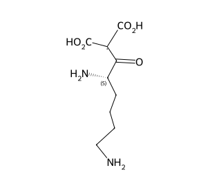 NCCCC[C@H](N)C(=O)[C](C(=O)O)C(=O)O